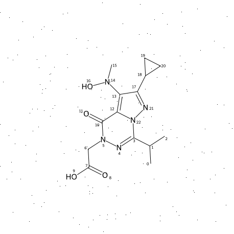 CC(C)c1nn(CC(=O)O)c(=O)c2c(N(C)O)c(C3CC3)nn12